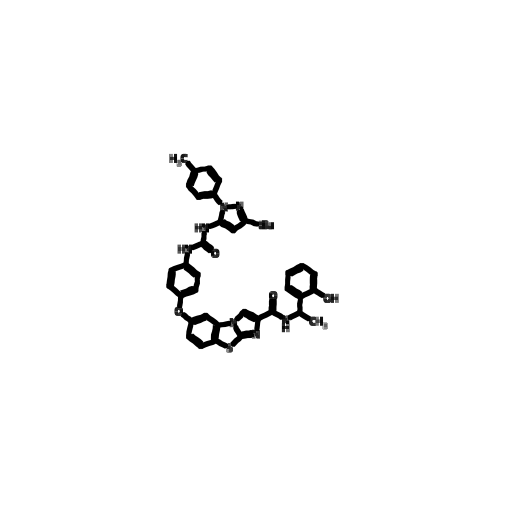 Cc1ccc(-n2nc(C(C)(C)C)cc2NC(=O)Nc2ccc(Oc3ccc4sc5nc(C(=O)NC(C)c6ccccc6O)cn5c4c3)cc2)cc1